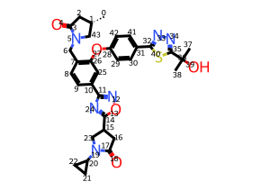 C[C@H]1CC(=O)N(Cc2ccc(-c3noc(C4CC(=O)N(C5CC5)C4)n3)cc2Oc2ccc(-c3nnc(C(C)(C)O)s3)cc2)C1